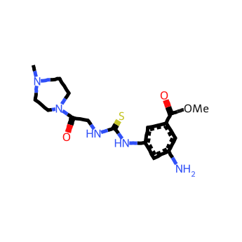 COC(=O)c1cc(N)cc(NC(=S)NCC(=O)N2CCN(C)CC2)c1